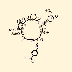 CO[C@H]1C[C@@H](C)C/C(C)=C/[C@@H](C/C=C/c2ccc(C(=O)C(C)C)cc2)C(=O)C[C@H](O)[C@@H](C)[C@@H](/C(C)=C/[C@@H]2CC[C@@H](O)[C@H](CO)C2)OC(=O)C2CCCCN2C(=O)C(=O)[C@]2(O)O[C@H]1[C@@H](OC)C[C@H]2C